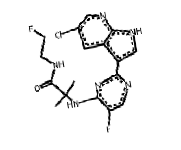 CC(C)(Nc1nc(-c2c[nH]c3ncc(Cl)cc23)ncc1F)C(=O)NCCF